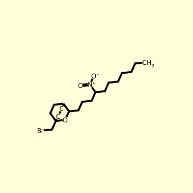 [CH2]CCCCCCC(CCC[C]1OC2(CBr)CCC1CC2)[N+](=O)[O-]